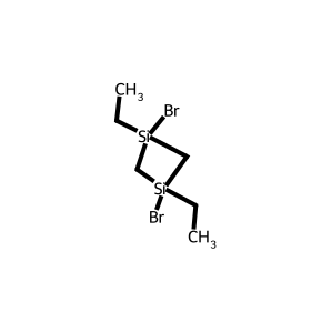 CC[Si]1(Br)C[Si](Br)(CC)C1